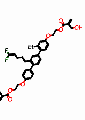 C=C(CO)C(=O)OCCOc1ccc(-c2ccc(-c3ccc(OCCOC(=O)C(=C)CO)cc3CC)cc2CCCC=C(F)F)cc1